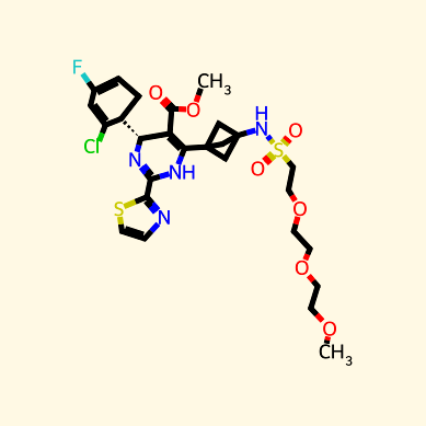 COCCOCCOCCS(=O)(=O)NC12CC(C3=C(C(=O)OC)[C@@H](C4CC=C(F)C=C4Cl)N=C(c4nccs4)N3)(C1)C2